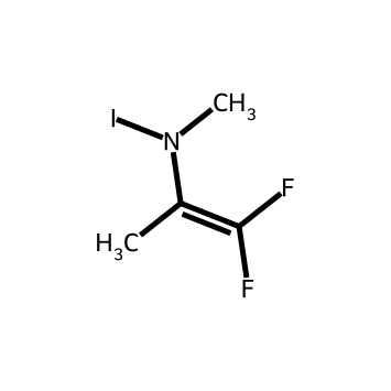 CC(=C(F)F)N(C)I